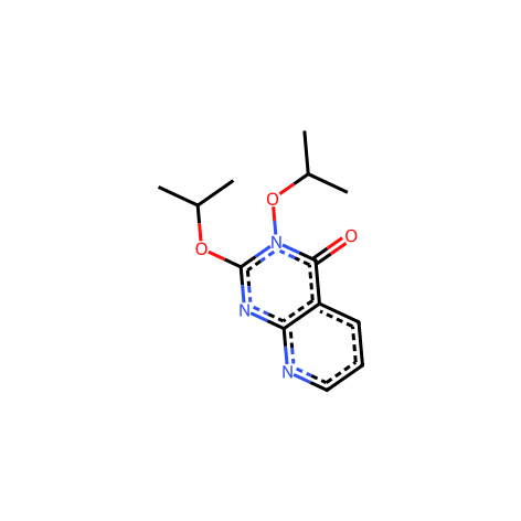 CC(C)Oc1nc2ncccc2c(=O)n1OC(C)C